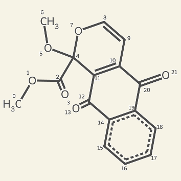 COC(=O)C1(OC)OC=CC2=C1C(=O)c1ccccc1C2=O